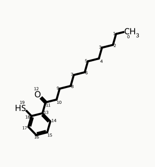 CCCCCCCCCCCC(=O)c1ccccc1S